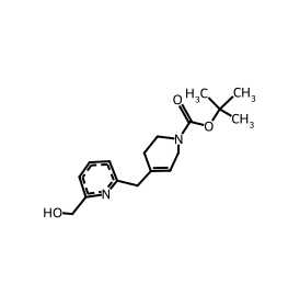 CC(C)(C)OC(=O)N1CC=C(Cc2cccc(CO)n2)CC1